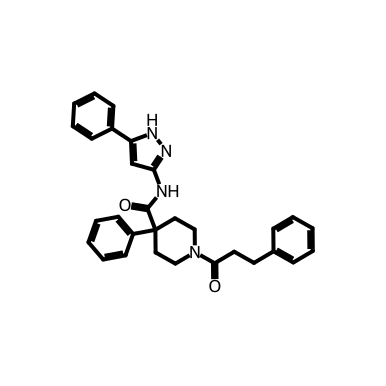 O=C(CCc1ccccc1)N1CCC(C(=O)Nc2cc(-c3ccccc3)[nH]n2)(c2ccccc2)CC1